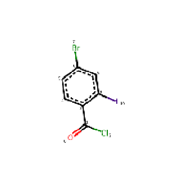 O=C(Cl)c1ccc(Br)cc1I